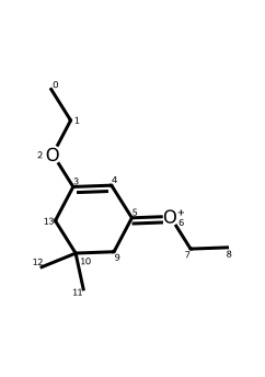 CCOC1=CC(=[O+]CC)CC(C)(C)C1